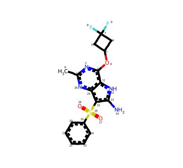 Cc1nc(OC2CC(F)(F)C2)c2[nH]c(N)c(S(=O)(=O)c3ccccc3)c2n1